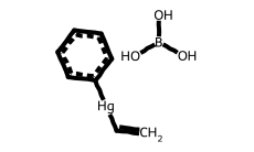 C=[CH][Hg][c]1ccccc1.OB(O)O